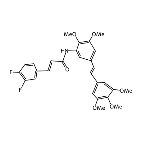 COc1cc(/C=C/c2cc(OC)c(OC)c(OC)c2)cc(NC(=O)/C=C/c2ccc(F)c(F)c2)c1OC